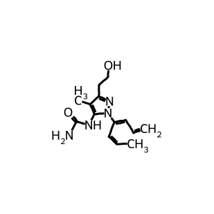 C=C/C=C(\C=C/C)n1nc(CCO)c(C)c1NC(N)=O